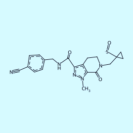 Cn1nc(C(=O)NCc2ccc(C#N)cc2)c2c1C(=O)N(CC1([S]=O)CC1)CC2